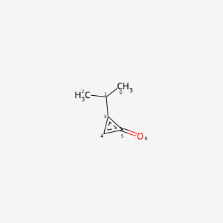 CC(C)c1cc1=O